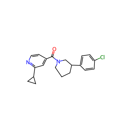 O=C(c1ccnc(C2CC2)c1)N1CCCC(c2ccc(Cl)cc2)C1